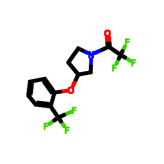 O=C(N1CCC(Oc2ccccc2C(F)(F)F)C1)C(F)(F)F